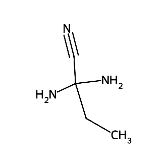 CCC(N)(N)C#N